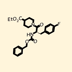 CCOC(=O)C1CCN(C(=O)[C@H](Cc2ccc(F)cc2)NC(=O)OCc2ccccc2)CC1